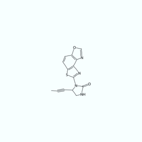 CC#CC1CNC(=O)N1c1nc2c(ccc3ocnc32)s1